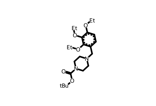 CCOc1ccc(CN2CCN(C(=O)OC(C)(C)C)CC2)c(OCC)c1OCC